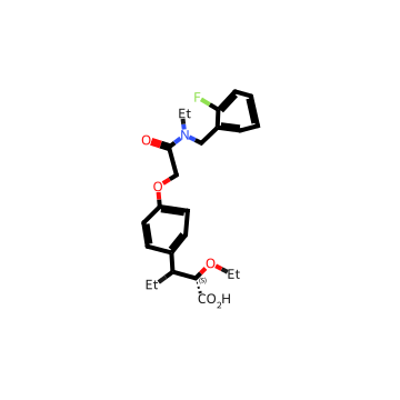 CCO[C@H](C(=O)O)C(CC)c1ccc(OCC(=O)N(CC)Cc2ccccc2F)cc1